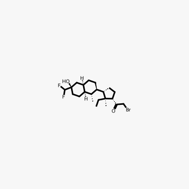 CC[C@]1(C)[C@@H](C(=O)CBr)CC[C@H]1[C@@H]1CC[C@@H]2C[C@@](O)(C(F)F)CC[C@@H]2[C@H]1C